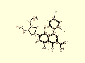 CN[C@@H]1CN(c2c(F)c(N)c3c(=O)c(C(=O)O)cn(-c4ccc(F)cc4F)c3c2F)C[C@@H]1OC